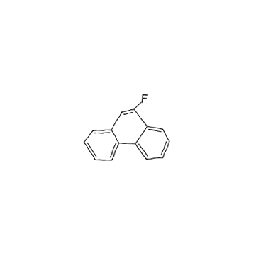 Fc1cc2ccccc2c2ccccc12